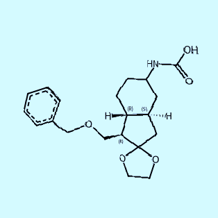 O=C(O)NC1CC[C@@H]2[C@@H](C1)CC1(OCCO1)[C@H]2COCc1ccccc1